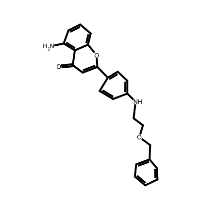 Nc1cccc2oc(-c3ccc(NCCOCc4ccccc4)cc3)cc(=O)c12